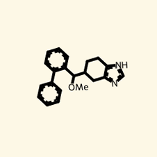 COC(c1ccccc1-c1ccccc1)C1CCc2[nH]cnc2C1